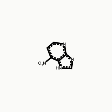 O=[N+]([O-])c1ccnc2nc[nH]c12